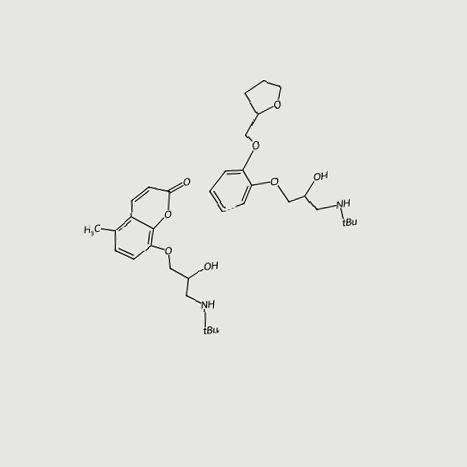 CC(C)(C)NCC(O)COc1ccccc1OCC1CCCO1.Cc1ccc(OCC(O)CNC(C)(C)C)c2oc(=O)ccc12